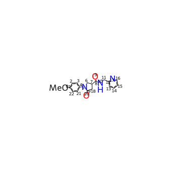 COc1ccc(N2CC(C(=O)NCc3ccccn3)CC2=O)cc1